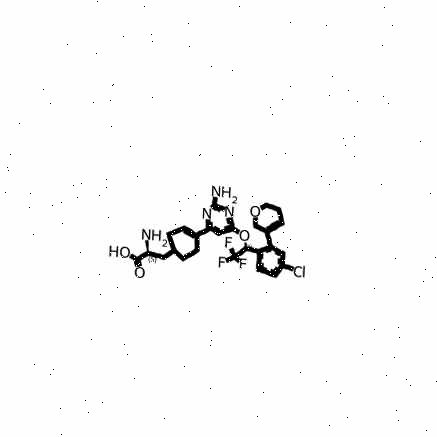 Nc1nc(O[C@H](c2ccc(Cl)cc2C2=CCCOC2)C(F)(F)F)cc(C2=CCC(C[C@H](N)C(=O)O)CC2)n1